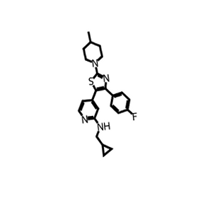 CC1CCN(c2nc(-c3ccc(F)cc3)c(-c3ccnc(NCC4CC4)c3)s2)CC1